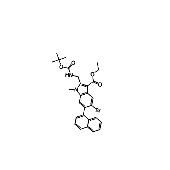 CCOC(=O)c1c(CNC(=O)OC(C)(C)C)n(C)c2cc(-c3cccc4ccccc34)c(Br)cc12